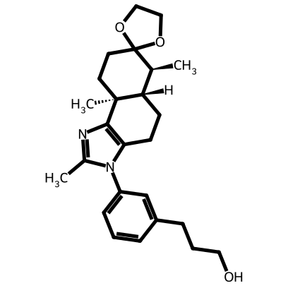 Cc1nc2c(n1-c1cccc(CCCO)c1)CC[C@H]1[C@H](C)C3(CC[C@]21C)OCCO3